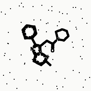 Cc1ccc2nc(-c3ccccc3)c(CC(=O)N3CCCCC3)n2n1